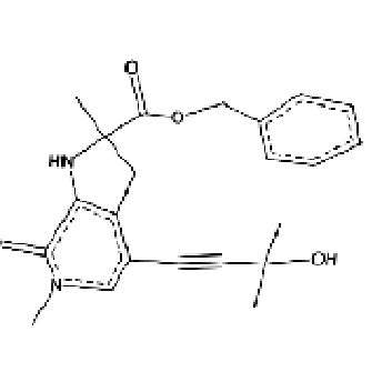 Cn1cc(C#CC(C)(C)O)c2c(c1=O)NC(C)(C(=O)OCc1ccccc1)C2